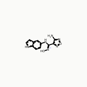 Nc1nonc1/C(=N/O)Nc1ccc2[nH]ccc2c1